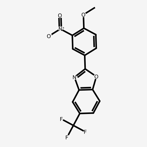 COc1ccc(-c2nc3cc(C(F)(F)F)ccc3o2)cc1[N+](=O)[O-]